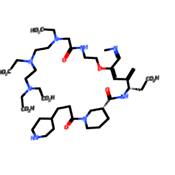 C=C(/C=C(\C=N/C)OCCNC(=O)CN(CCN(CCN(CC(=O)O)CC(=O)O)CC(=O)O)CC(=O)O)[C@H](CC(=O)O)NC(=O)[C@@H]1CCCN(C(=O)CCC2CCNCC2)C1